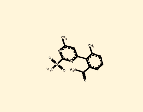 Cc1cccc(C(N)=O)c1-c1cc(C(F)(F)F)nc(S(C)(=O)=O)n1